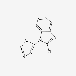 Clc1nc2ccccc2n1-c1nnn[nH]1